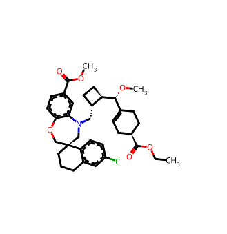 CCOC(=O)[C@H]1CC=C([C@@H](OC)[C@@H]2CC[C@H]2CN2C[C@@]3(CCCc4cc(Cl)ccc43)COc3ccc(C(=O)OC)cc32)CC1